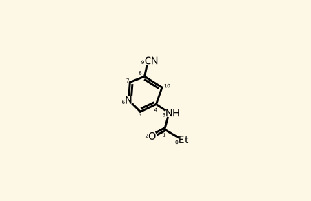 CCC(=O)Nc1cncc(C#N)c1